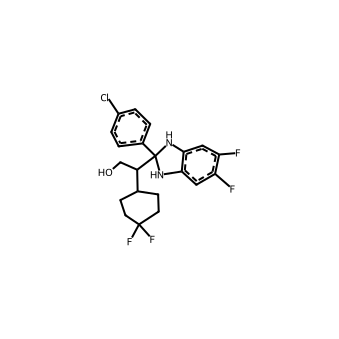 OCC(C1CCC(F)(F)CC1)C1(c2ccc(Cl)cc2)Nc2cc(F)c(F)cc2N1